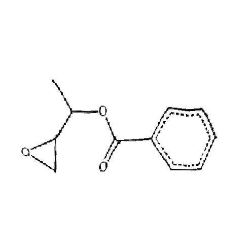 CC(OC(=O)c1ccccc1)C1CO1